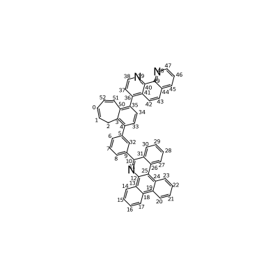 C1=CCc2c(-c3cccc(-c4nc5c6ccccc6c6ccccc6c5c5ccccc45)c3)ccc(-c3ccnc4c3ccc3cccnc34)c2C=C1